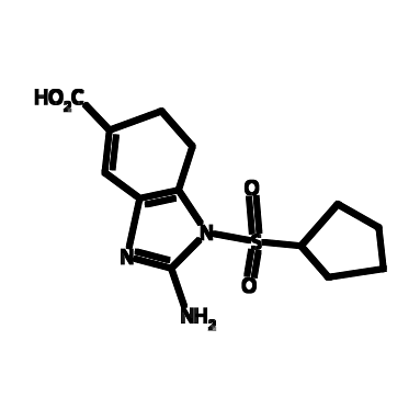 Nc1nc2c(n1S(=O)(=O)C1CCCC1)CCC(C(=O)O)=C2